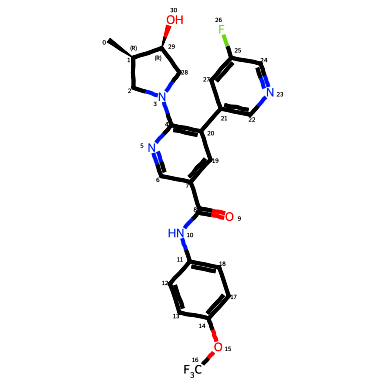 C[C@@H]1CN(c2ncc(C(=O)Nc3ccc(OC(F)(F)F)cc3)cc2-c2cncc(F)c2)C[C@@H]1O